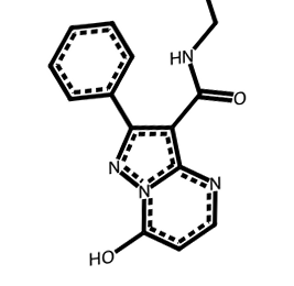 CCNC(=O)c1c(-c2ccccc2)nn2c(O)ccnc12